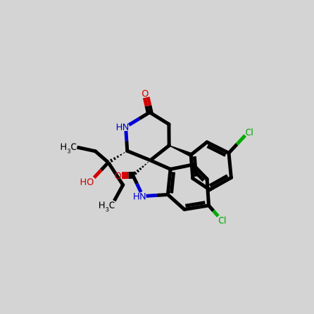 CCC(O)(CC)[C@@H]1NC(=O)C[C@@H](c2cccc(Cl)c2)[C@]12C(=O)Nc1cc(Cl)ccc12